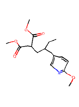 CCC(CC(C(=O)OC)C(=O)OC)c1ccc(OC)nc1